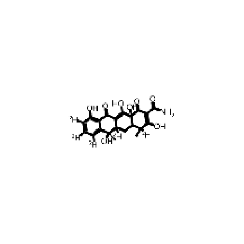 [2H]c1c([2H])c(O)c2c(c1[2H])[C@@](C)(O)C1([2H])CC3C([2H])(C)C(O)=C(C(N)=O)C(=O)[C@@]3(O)C(O)=C1C2=O